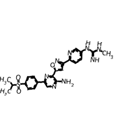 CNC(=N)Nc1ccc(-c2cc(-c3nc(-c4ccc(S(=O)(=O)C(C)C)cc4)cnc3N)on2)nc1